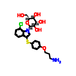 NCCCOc1ccc(Sc2cn([C@@H]3O[C@H](CO)[C@@H](O)[C@H](O)[C@H]3O)c3c(Cl)cccc23)cc1